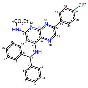 CCOC(=O)Nc1cc(NC(c2ccccc2)c2ccccc2)c2ncc(-c3ccc(Cl)cc3)nc2n1